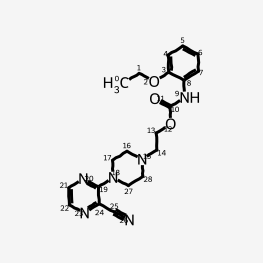 CCOc1ccccc1NC(=O)OCCN1CCN(c2nccnc2C#N)CC1